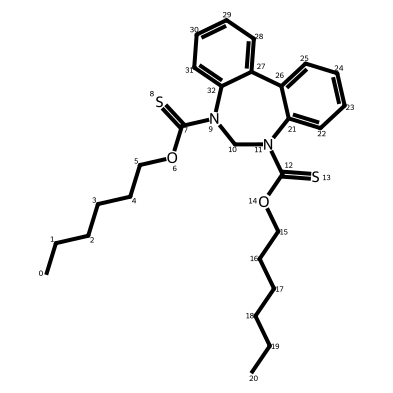 CCCCCCOC(=S)N1CN(C(=S)OCCCCCC)c2ccccc2-c2ccccc21